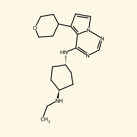 CCN[C@H]1CC[C@H](Nc2ncnn3ccc(C4CCOCC4)c23)CC1